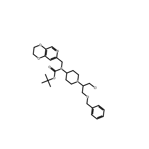 CC(C)(C)OC(=O)N(Cc1cc2c(cn1)OCCO2)C1CCN(C(CCl)COCc2ccccc2)CC1